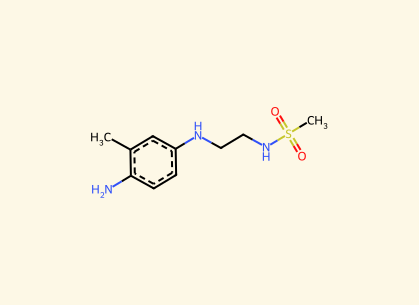 Cc1cc(NCCNS(C)(=O)=O)ccc1N